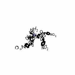 CC1(C)SC2(NC(=O)/C(=N\O[C@H]3C[C@@H](C(=O)OCc4ccc([N+](=O)[O-])cc4)N(C(=O)OCc4ccc([N+](=O)[O-])cc4)C3)c3csc(N)n3)CC(=O)N2[C@H]1C(=O)OCc1ccc([N+](=O)[O-])cc1